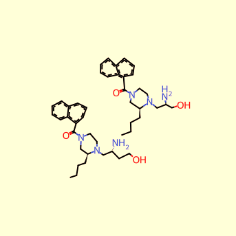 CCCC[C@H]1CN(C(=O)c2cccc3ccccc23)CCN1C[C@@H](N)CO.CCCC[C@H]1CN(C(=O)c2cccc3ccccc23)CCN1C[C@H](N)CCO